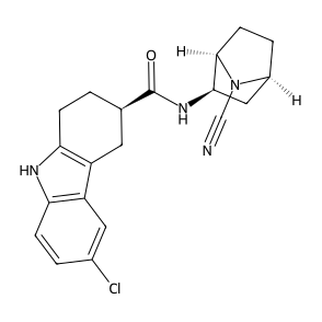 N#CN1[C@H]2CC[C@@H]1[C@H](NC(=O)[C@@H]1CCc3[nH]c4ccc(Cl)cc4c3C1)C2